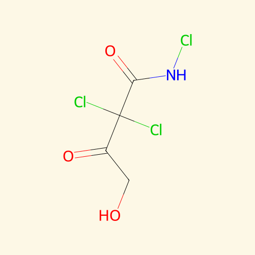 O=C(CO)C(Cl)(Cl)C(=O)NCl